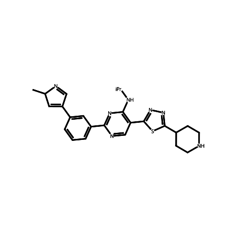 CC1C=C(c2cccc(-c3ncc(-c4nnc(C5CCNCC5)s4)c(NC(C)C)n3)c2)C=N1